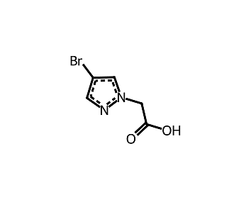 O=C(O)Cn1cc(Br)cn1